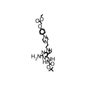 CCOC(=O)COc1ccc(N2CCN(CCn3ncc4c(NNC(=O)OC(C)(C)C)nc(N)nc43)CC2)cc1